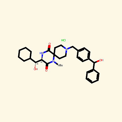 CCCCN1C(=O)[C@@H]([C@H](O)C2CCCCC2)NC(=O)C12CCN(Cc1ccc(C(O)c3ccccc3)cc1)CC2.Cl